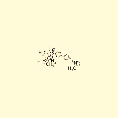 CC(NS(=O)(=O)c1ccc(-c2ccc(CCN3CCCC3C)cc2)cc1)C(=O)OC(C)(C)C